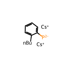 CCCCc1ccccc1[P-2].[Cs+].[Cs+]